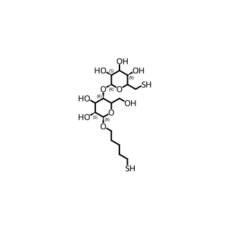 OCC1O[C@@H](OCCCCCS)[C@@H](O)C(O)[C@H]1O[C@@H]1OC(CS)[C@H](O)C(O)[C@@H]1O